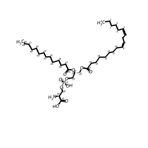 CCCCC/C=C\C/C=C\CCCCCCCC(=O)OC[C@H](COP(=O)(O)OC[C@H](N)C(=O)O)OC(=O)CCCCCCCCCCCCC